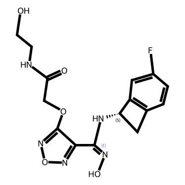 O=C(COc1nonc1/C(=N\O)N[C@H]1Cc2ccc(F)cc21)NCCO